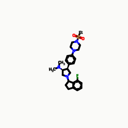 CCS(=O)(=O)N1CCN(c2ccc([C@H]3CN(C4CCc5cccc(F)c54)C[C@@H]3N(C)C)cc2)CC1